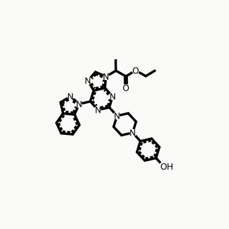 CCOC(=O)C(C)n1cnc2c(-n3ncc4ccccc43)nc(N3CCN(c4ccc(O)cc4)CC3)nc21